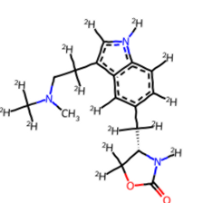 [2H]c1c(C([2H])([2H])[C@@H]2N([2H])C(=O)OC2([2H])[2H])c([2H])c2c(C([2H])([2H])CN(C)C([2H])([2H])[2H])c([2H])n([2H])c2c1[2H]